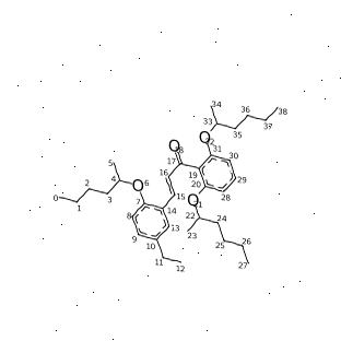 CCCCC(C)Oc1ccc(CC)cc1C=CC(=O)c1c(OC(C)CCCC)cccc1OC(C)CCCC